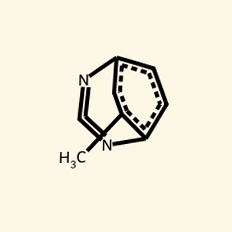 Cc1cc2ccc1N=C=N2